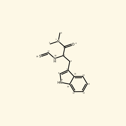 CN(C)C(=O)C(Cc1c[nH]c2ccccc12)NC=S